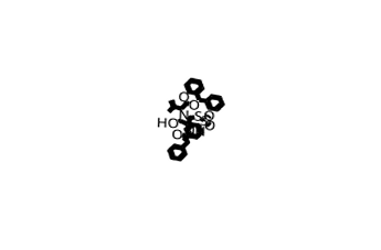 C=C(C)C(C(=O)OC(c1ccccc1)c1ccccc1)N1C(O)C(NC(=O)Cc2ccccc2)C1SS(=O)(=O)c1ccc(C)cc1